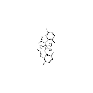 C[CH2][Zr]([Cl])([Cl])([CH]1C(C)=Cc2c(C)ccc(C)c21)[CH]1C(C)=Cc2c(C)ccc(C)c21